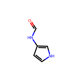 O=[C]Nc1cc[nH]c1